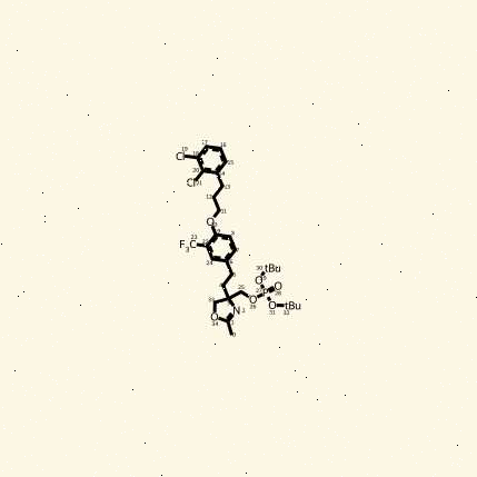 CC1=NC(CCc2ccc(OCCCc3cccc(Cl)c3Cl)c(C(F)(F)F)c2)(COP(=O)(OC(C)(C)C)OC(C)(C)C)CO1